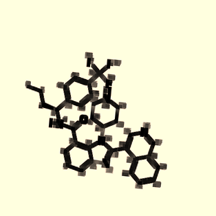 CCC[C@H](NC(=O)c1cccc2nc(-c3cncc4ccccc34)n(C3CCNCC3)c12)c1ccc(C(F)(F)F)cc1